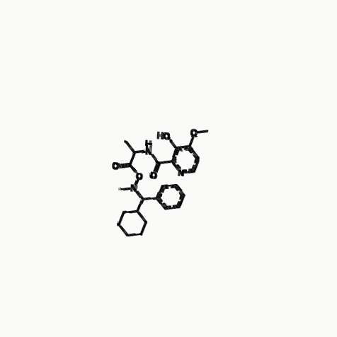 COc1ccnc(C(=O)NC(C)C(=O)ON(C)C(c2ccccc2)C2CCCCC2)c1O